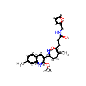 CC1=C(CCC(=O)NCc2ccco2)ON=C(c2cc3ccc(C)cc3nc2OC(C)(C)C)CC1